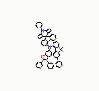 CC1(C)c2cc(-c3ccccc3)ccc2-c2c(N(c3ccc4c(-c5ccccc5)c(-c5ccccc5)oc4c3)c3cccc4c3-c3ccccc3C43c4ccccc4N(c4ccccc4)c4ccccc43)cccc21